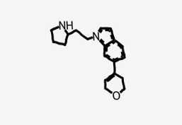 C1=C(c2ccc3ccn(CCC4CCCN4)c3c2)CCOC1